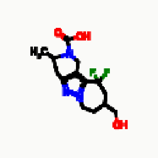 CC1Cc2nn3c(c2CN1C(=O)O)C(F)(F)CC(CO)CC3